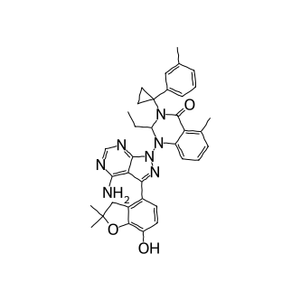 CCC1N(n2nc(-c3ccc(O)c4c3CC(C)(C)O4)c3c(N)ncnc32)c2cccc(C)c2C(=O)N1C1(c2cccc(C)c2)CC1